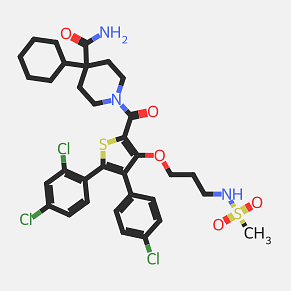 CS(=O)(=O)NCCCOc1c(C(=O)N2CCC(C(N)=O)(C3CCCCC3)CC2)sc(-c2ccc(Cl)cc2Cl)c1-c1ccc(Cl)cc1